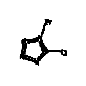 CC(C)n1nnnc1Cl